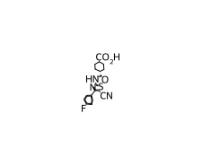 N#Cc1sc(NC(=O)[C@H]2CC[C@H](C(=O)O)CC2)nc1-c1ccc(F)cc1